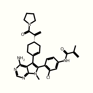 C=C(C)C(=O)Nc1ccc(-c2c(C3=CC[C@@H](C(=C)C(=O)N4CCCC4)CC3)c3c(N)ncnc3n2C)c(Cl)c1